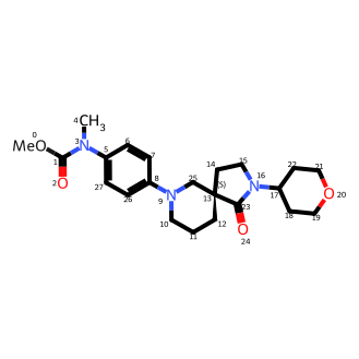 COC(=O)N(C)c1ccc(N2CCC[C@]3(CCN(C4CCOCC4)C3=O)C2)cc1